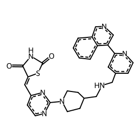 O=C1NC(=O)C(=Cc2ccnc(N3CCC(CNCc4ccnc(-c5cncc6ccccc56)c4)CC3)n2)S1